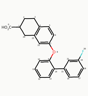 O=C(O)C1CCc2ccc(Oc3ccccc3-c3cccc(F)c3)cc2C1